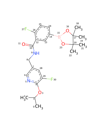 CC(C)Oc1ncc(CNC(=O)c2cc(B3OC(C)(C)C(C)(C)O3)ccc2F)cc1F